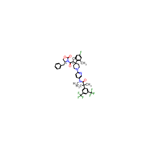 Cc1cc(F)ccc1C1([C@H](C)C(=O)N2C(=O)OC[C@@H]2Cc2ccccc2)CCN(c2ccc(N(C)C(=O)C(C)(C)c3cc(C(F)(F)F)cc(C(F)(F)F)c3)cn2)CC1